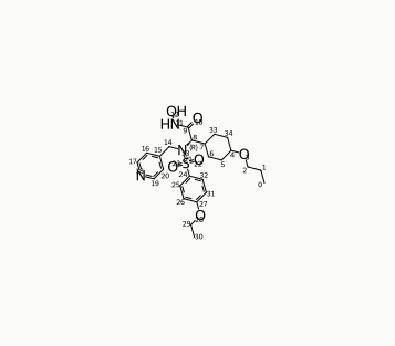 CCCOC1CCC([C@H](C(=O)NO)N(Cc2ccncc2)S(=O)(=O)c2ccc(OCC)cc2)CC1